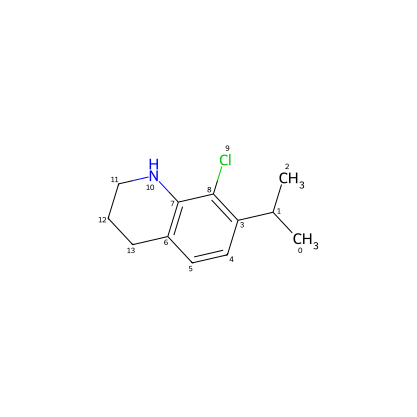 CC(C)c1ccc2c(c1Cl)NCCC2